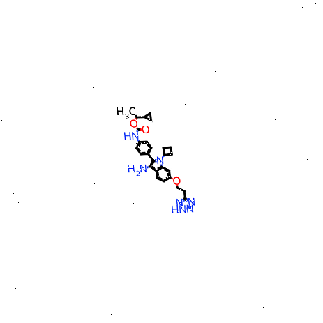 CC(OC(=O)Nc1ccc(-c2c(N)c3ccc(OCCc4nn[nH]n4)cc3n2C2CCC2)cc1)C1CC1